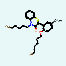 COc1ccc(OCCCCCBr)c(C2Sc3ccccc3N(CCCCCBr)C2=O)c1